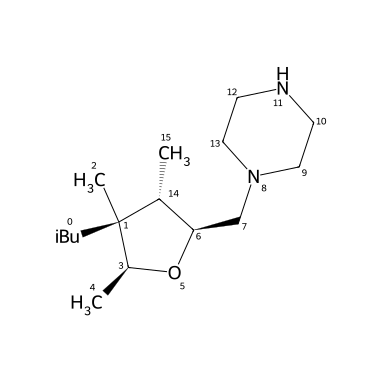 CCC(C)[C@]1(C)[C@H](C)O[C@H](CN2CCNCC2)[C@H]1C